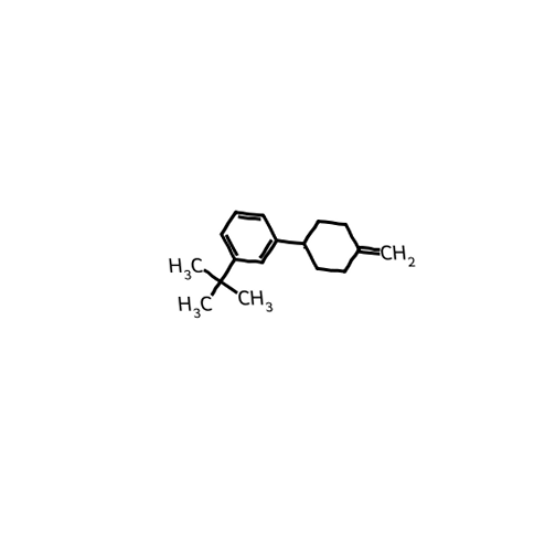 C=C1CC[C](c2cccc(C(C)(C)C)c2)CC1